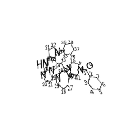 O=C(C1CCCCC1)N1CCN(CCC[C@@H]2[C@@H](Nc3nccc(N4CCCCCC4)n3)CCN2C2CCCCC2)CC1